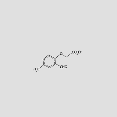 Bc1ccc(OCC(=O)OCC)c(C=O)c1